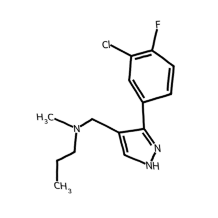 CCCN(C)Cc1c[nH]nc1-c1ccc(F)c(Cl)c1